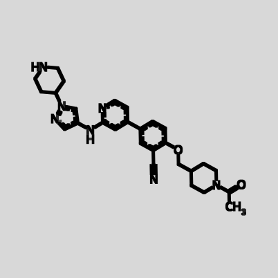 CC(=O)N1CCC(COc2ccc(-c3ccnc(Nc4cnn(C5CCNCC5)c4)c3)cc2C#N)CC1